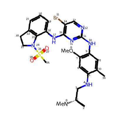 CN[C@@H](C)CNc1cc(OC)c(Nc2ncc(Br)c(Nc3cccc4c3N(S(C)(=O)=O)CC4)n2)cc1C